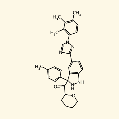 Cc1ccc(C2(C(=O)C3CCCCO3)NNc3ccc(-c4ncn(-c5ccc(C)c(C)c5C)n4)cc32)cc1